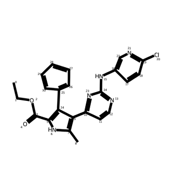 CCOC(=O)c1[nH]c(C)c(-c2ccnc(Nc3ccc(Cl)nc3)n2)c1-c1ccccc1